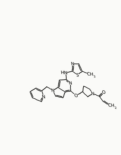 C=CC(=O)N1CCC(Oc2nc(Nc3ncc(C)s3)cc3c2ccn3Cc2ccccn2)C1